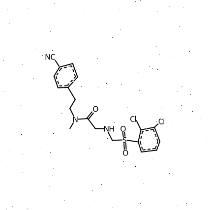 CN(CCc1ccc(C#N)cc1)C(=O)CNCS(=O)(=O)c1cccc(Cl)c1Cl